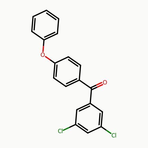 O=C(c1ccc(Oc2ccccc2)cc1)c1cc(Cl)cc(Cl)c1